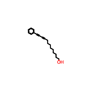 OCCCCCCCCCC#CC#Cc1ccccc1